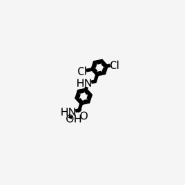 O=C(NO)c1ccc(NCc2cc(Cl)ccc2Cl)cc1